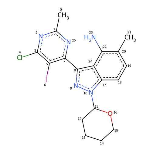 Cc1nc(Cl)c(I)c(-c2nn(C3CCCCO3)c3ccc(C)c(N)c23)n1